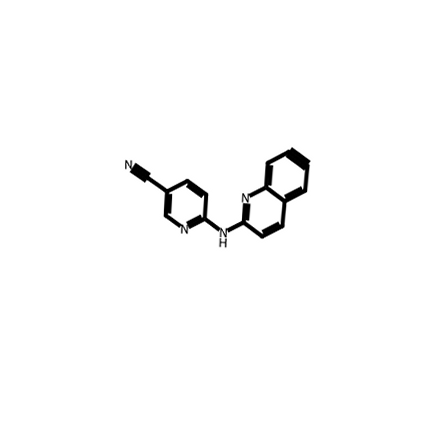 N#Cc1ccc(Nc2ccc3cc#ccc3n2)nc1